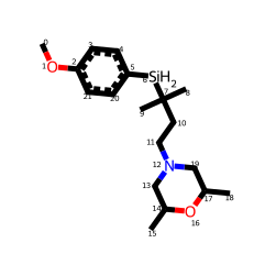 COc1ccc([SiH2]C(C)(C)CCN2CC(C)OC(C)C2)cc1